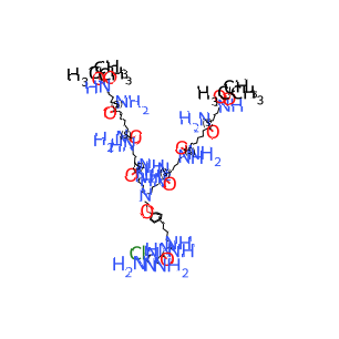 CC(C)(C)OC(=O)NCCCC[C@H](N)C(=O)CCCCC[C@H](N)C(=O)NCCCC[C@H](N)C(=O)NCCCN(CCCNC(=O)[C@@H](N)CCCCNC(=O)[C@@H](N)CCCCCC(=O)[C@@H](N)CCCCNC(=O)OC(C)(C)C)CCOc1ccc(CCCCNC(=N)NC(=O)c2nc(Cl)c(N)nc2N)cc1